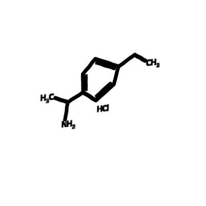 CCc1ccc(C(C)N)cc1.Cl